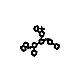 CC1(C)c2ccccc2-c2cc(-c3cc(-c4ccc(Nc5cccc6ccccc56)c(-c5ccccc5)c4)ccc3Nc3ccc(-c4ccccc4)cc3)ccc21